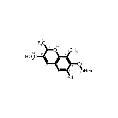 CCCCCCOc1c(Cl)cc2c(c1C)OC(C(F)(F)F)C(C(=O)O)=C2